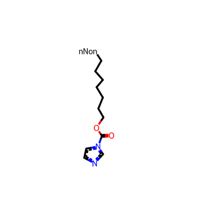 CCCCCCCCCCCCCCCCOC(=O)n1ccnc1